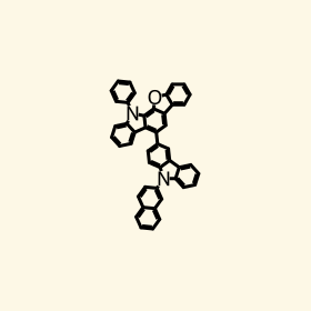 c1ccc(-n2c3ccccc3c3c(-c4ccc5c(c4)c4ccccc4n5-c4ccc5ccccc5c4)cc4c5ccccc5oc4c32)cc1